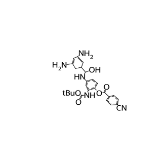 CC(C)(C)OC(=O)Nc1cc(NC(O)C2C=C(N)C=C(N)C2)ccc1OC(=O)c1ccc(C#N)cc1